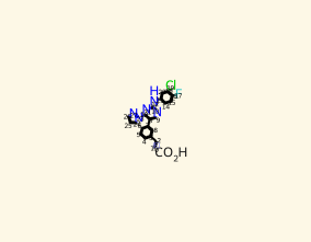 O=C(O)/C=C/c1cccc(-c2cnc(Nc3ccc(F)c(Cl)c3)nc2-n2cccn2)c1